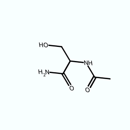 CC(=O)NC(CO)C(N)=O